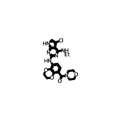 CCNc1nc(Nc2ccc(C(=O)N3CCOCC3)c3c2OCCO3)nc2[nH]cc(Cl)c12